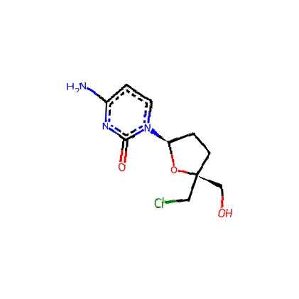 Nc1ccn([C@H]2CC[C@](CO)(CCl)O2)c(=O)n1